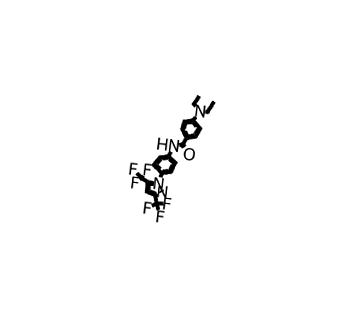 CCN(CC)c1ccc(C(=O)Nc2ccc(-n3nc(C(F)(F)F)cc3C(F)(F)F)cc2)cc1